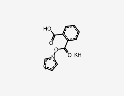 O=C(O)c1ccccc1C(=O)On1ccnc1.[KH]